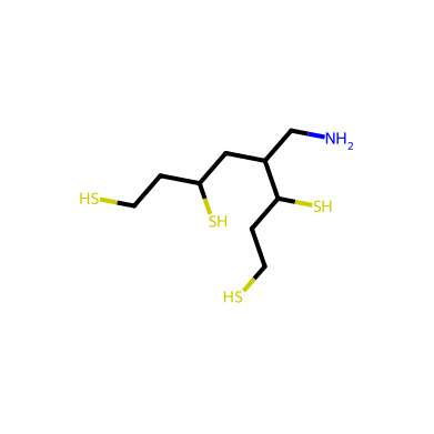 NCC(CC(S)CCS)C(S)CCS